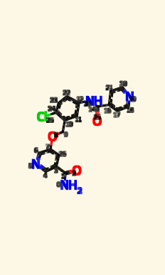 NC(=O)c1cncc(OCc2cc(NC(=O)c3ccncc3)ccc2Cl)c1